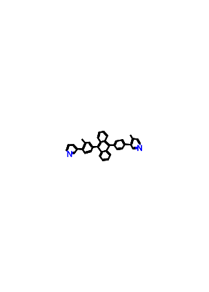 Cc1cc(-c2c3ccccc3c(-c3ccc(-c4cnccc4C)cc3)c3ccccc23)ccc1-c1cccnc1